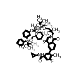 Cc1c(F)cc(C(=O)NC2CC2)cc1-c1ccc2c(=O)n(CC(C)(C)CO[Si](C)(C)C(C)(C)C)cc(S[C@H]3CCN(C(=O)O)[C@H](CO[Si](c4ccccc4)(c4ccccc4)C(C)(C)C)C3)c2c1